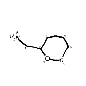 NCC1CCCOO1